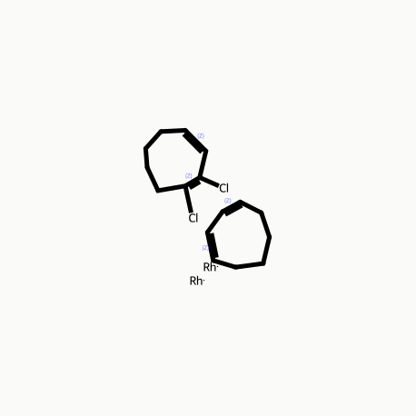 C1=C\CCCC\C=C/1.ClC1=C(\Cl)CCCC/C=C\1.[Rh].[Rh]